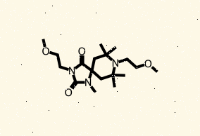 COCCN1C(=O)N(C)C2(CC(C)(C)N(CCOC)C(C)(C)C2)C1=O